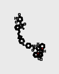 Cn1c(=O)n(C2CCC(=O)NC2=O)c2cccc(CCC3CC4(CCN(C[C@H]5CC[C@H](NC(=O)[C@@H]6NC7(CCCCC7)[C@@]7(C(=O)Nc8cc(Cl)ccc87)[C@H]6c6cccc(Cl)c6F)CC5)CC4)C3)c21